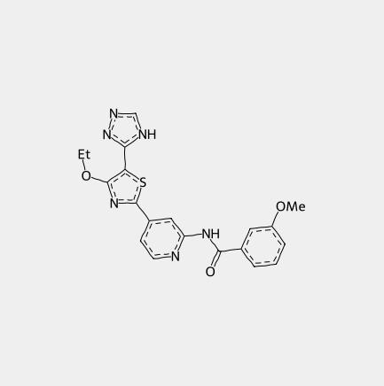 CCOc1nc(-c2ccnc(NC(=O)c3cccc(OC)c3)c2)sc1-c1nnc[nH]1